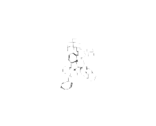 O=c1c(OCc2ccccc2)c(N2CCOCC2)oc2c(O)c(C(F)(F)F)ccc12